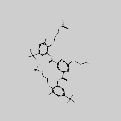 CC(C)(C)c1cc(N)c(SCCNC(=N)N)c(NC(=O)c2cc(OCCN)cc(C(=O)Nc3cc(C(C)(C)C)cc(N)c3SCCNC(=N)N)c2)c1